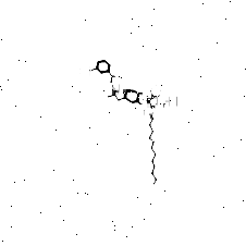 CCCCCCCCCCCCOC(=O)C1(C(=O)O)Oc2ccc(CC(C)NCC(O)c3cccc(Cl)c3)cc2O1